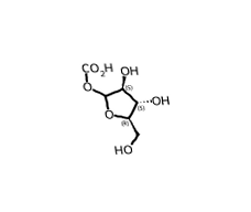 O=C(O)OC1O[C@H](CO)[C@@H](O)[C@@H]1O